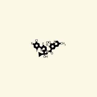 COc1cc(C(=O)NC[C@](O)(c2ccc(F)c(-c3cc(Cl)c(F)cc3F)n2)C2CC2)cc2cc(C)cnc12